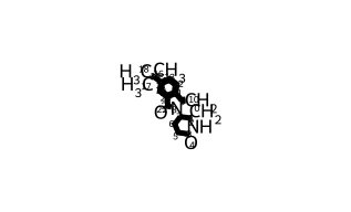 C=C1NC(=O)CCC1N1C(=C)c2ccc(C(C)(C)C)cc2C1=O